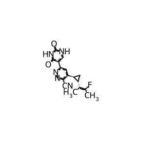 C/C(F)=C(\C)[C@H]1C[C@@H]1c1cc(-c2c[nH]c(=O)[nH]c2=O)nnc1C#N